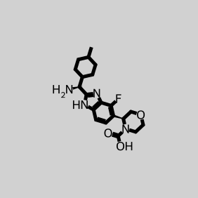 CC1CCC([C@H](N)c2nc3c(F)c([C@H]4COCCN4C(=O)O)ccc3[nH]2)CC1